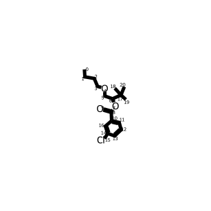 CCCCOCC(OC(=O)c1cccc(Cl)c1)C(C)(C)C